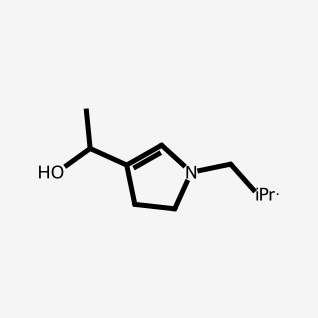 C[C](C)CN1C=C(C(C)O)CC1